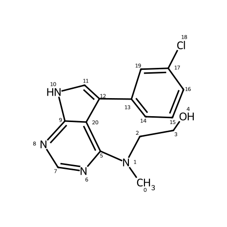 CN(CCO)c1ncnc2[nH]cc(-c3cccc(Cl)c3)c12